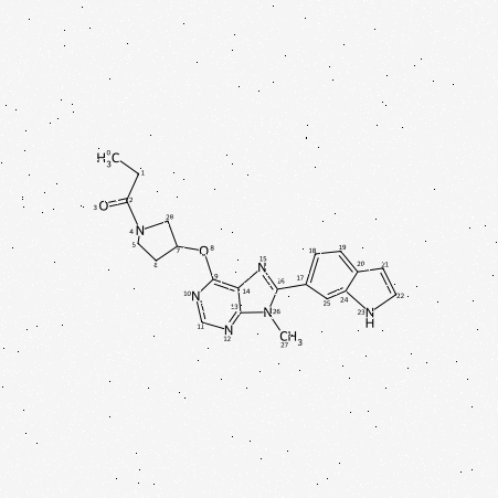 CCC(=O)N1CCC(Oc2ncnc3c2nc(-c2ccc4cc[nH]c4c2)n3C)C1